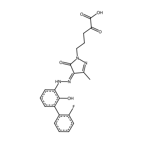 CC1=NN(CCCC(=O)C(=O)O)C(=O)/C1=N\Nc1cccc(-c2ccccc2F)c1O